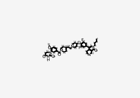 CCCCn1cc(-c2cc(F)c(OC3CCN(CCC4CCN(C(=O)c5ccc(OC)c(-n6ccc(=O)[nH]c6=O)c5)CC4)CC3)c(F)c2)c2ccncc2c1=O